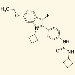 CCOc1ccc2c(F)c(-c3ccc(NC(=O)NC4CCC4)cc3)n(C3CCC3)c2c1